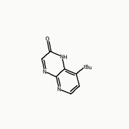 CC(C)(C)c1ccnc2ncc(=O)[nH]c12